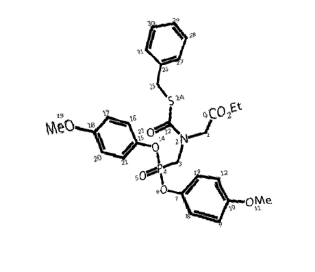 CCOC(=O)CN(CP(=O)(Oc1ccc(OC)cc1)Oc1ccc(OC)cc1)C(=O)SCc1ccccc1